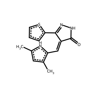 Cc1cc(C)c(/C=C2/C(=O)NN=C2c2cccs2)[nH]1